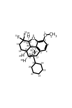 COc1ccc2c3c1O[C@@H]1C(F)(F)CC[C@@H]4[C@H](C2)N(C2CCCCC2)CC[C@]341